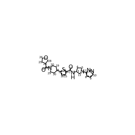 O=C(NC1CCN(c2cccnn2)C1)c1ccc(C2CCN(C(=O)C3CCOC3)CC2)s1